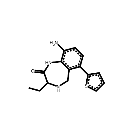 CCC1NCc2c(-c3cccs3)ccc(N)c2NC1=O